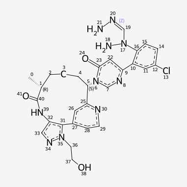 C[C@@H]1CCC[C@H](n2cnc(-c3cc(Cl)ccc3N(N)/C=N\N)cc2=O)c2cc(ccn2)-c2c(cnn2CCO)NC1=O